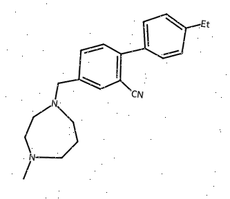 CCc1ccc(-c2ccc(CN3CCCN(C)CC3)cc2C#N)cc1